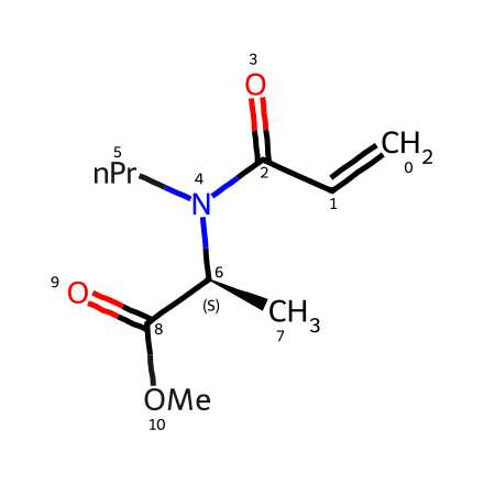 C=CC(=O)N(CCC)[C@@H](C)C(=O)OC